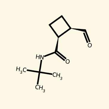 CC(C)(C)NC(=O)[C@H]1CC[C@H]1C=O